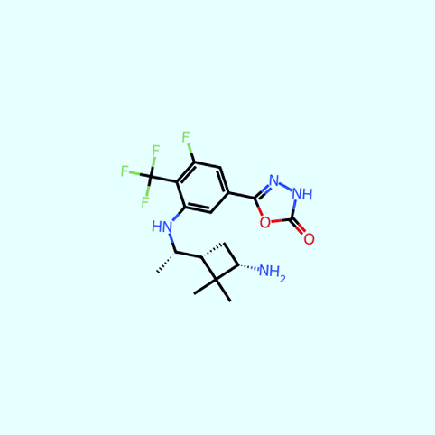 C[C@H](Nc1cc(-c2n[nH]c(=O)o2)cc(F)c1C(F)(F)F)[C@@H]1C[C@H](N)C1(C)C